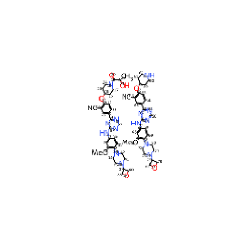 COc1cc(Nc2ncnc(-c3ccc(OC4CCN(C(=O)[C@H](C)O)CC4)c(C#N)c3)n2)ccc1N1CCN(C2COC2)CC1.COc1cc(Nc2ncnc(-c3ccc(OC4CCNCC4)c(C#N)c3)n2)ccc1N1CCN(C2COC2)CC1